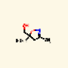 CCOC(=O)C1(CO)CC(C)=NO1